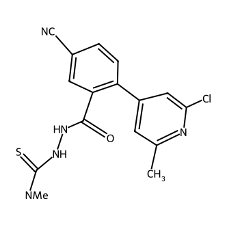 CNC(=S)NNC(=O)c1cc(C#N)ccc1-c1cc(C)nc(Cl)c1